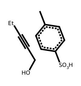 CCC#CCO.Cc1ccc(S(=O)(=O)O)cc1